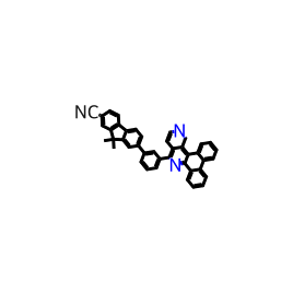 CC1(C)c2cc(C#N)ccc2-c2ccc(-c3cccc(-c4nc5c6ccccc6c6ccccc6c5c5cnccc45)c3)cc21